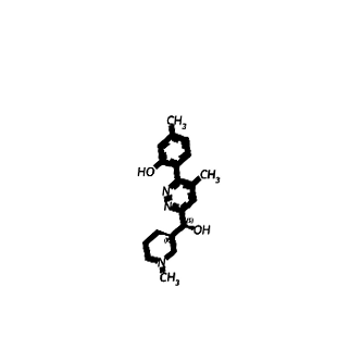 Cc1ccc(-c2nnc([C@@H](O)[C@@H]3CCCN(C)C3)cc2C)c(O)c1